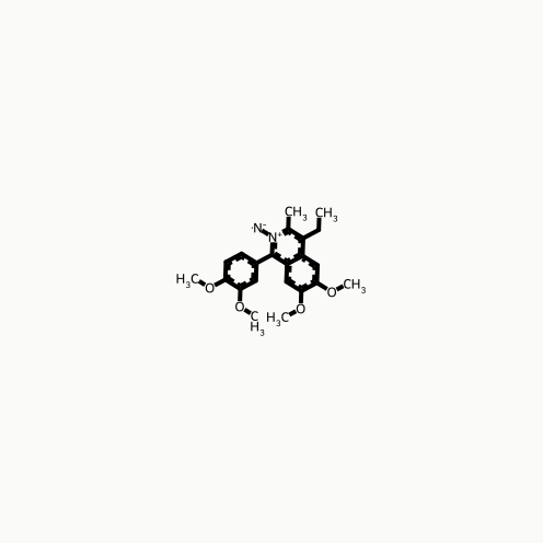 CCc1c(C)[n+]([N-])c(-c2ccc(OC)c(OC)c2)c2cc(OC)c(OC)cc12